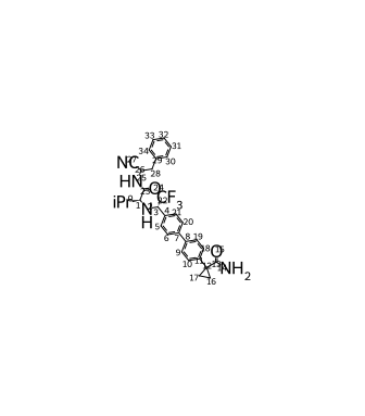 CC(C)[C@H](N[C@@H](c1ccc(-c2ccc(C3(C(N)=O)CC3)cc2)cc1)C(F)(F)F)C(=O)NC(C#N)Cc1ccccc1